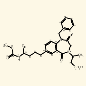 CCOC(=O)CC(C)N1CC(=O)N(Cc2ccccc2)c2ccc(CCCC(S)NC(=O)OC(C)(C)C)cc2C1=O